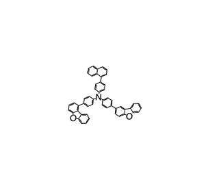 c1ccc2c(-c3ccc(N(c4ccc(-c5ccc6oc7ccccc7c6c5)cc4)c4ccc(-c5cccc6oc7ccccc7c56)cc4)cc3)cccc2c1